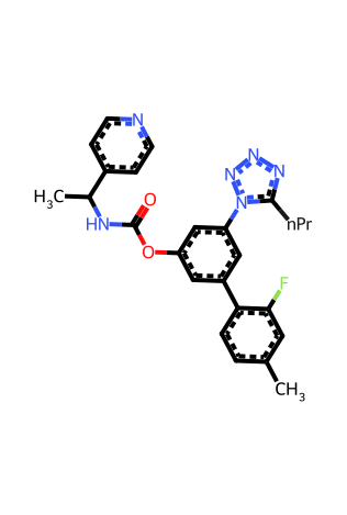 CCCc1nnnn1-c1cc(OC(=O)NC(C)c2ccncc2)cc(-c2ccc(C)cc2F)c1